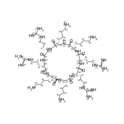 N=C(N)NCCC[C@@H]1NC(=O)[C@H](CCCCN)NC(=O)[C@H](CCCCN)NC(=O)[C@H](CCCNC(=N)N)NC(=O)[C@H](CCCNC(=N)N)NC(=O)[C@H](CCCCN)NC(=O)[C@H](CCCCN)NC(=O)[C@H](CCCNC(=N)N)NC1=O